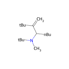 C=C(C(CCCC)N(C)C(C)(C)C)C(C)(C)C